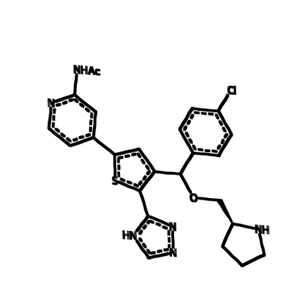 CC(=O)Nc1cc(-c2cc(C(OC[C@@H]3CCCN3)c3ccc(Cl)cc3)c(-c3nnc[nH]3)s2)ccn1